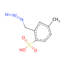 Cc1ccc(S(=O)(=O)O)c(CN=[N+]=[N-])c1